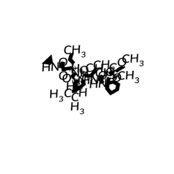 CCCC[C@H](NC(=O)[C@@H]1[C@@H]2[C@H](CN1C(=O)[C@@H](NC(=O)NC1(CS(=O)(=O)C(C)(C)COC)CCCCC1)C(C)(C)C)C2(C)C)C(=O)C(=O)NC1CC1